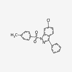 Cc1ccc(S(=O)(=O)n2nc(-c3ccccc3)c3ccc(Cl)cc32)cc1